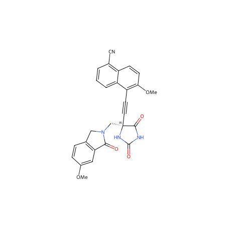 COc1ccc2c(c1)C(=O)N(C[C@@]1(C#Cc3c(OC)ccc4c(C#N)cccc34)NC(=O)NC1=O)C2